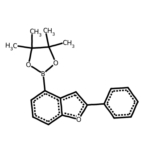 CC1(C)OB(c2cccc3oc(-c4ccccc4)cc23)OC1(C)C